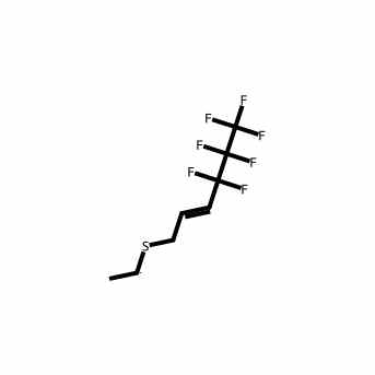 C[CH]SC/C=C/C(F)(F)C(F)(F)C(F)(F)F